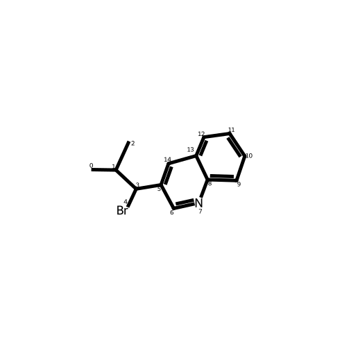 CC(C)C(Br)c1cnc2ccccc2c1